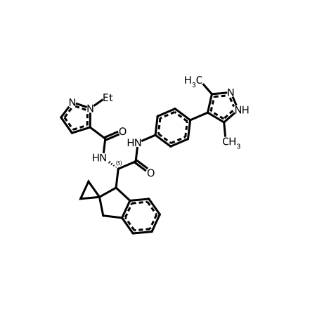 CCn1nccc1C(=O)N[C@H](C(=O)Nc1ccc(-c2c(C)n[nH]c2C)cc1)C1c2ccccc2CC12CC2